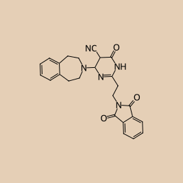 N#CC1C(=O)NC(CCN2C(=O)c3ccccc3C2=O)=NC1N1CCc2ccccc2CC1